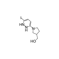 OCC1CCN(C2=CC=C(I)NN2)C1